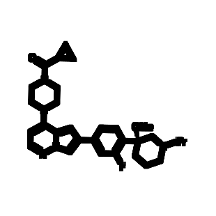 CO[C@@]1(c2ccc(-c3cc4c(N5CCN(C(=O)C6CC6)CC5)ccnn4c3)cc2F)CCCN(C(C)C)C1